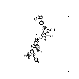 CCS(=O)(=O)Nc1ccc(-c2n[nH]c3c(-c4cnn(CCC(=O)N[C@H](C(=O)N5C[C@H](O)CC5C(=O)NCc5ccc(-c6scnc6C)cc5)C(C)(C)C)c4)cnc(N)c23)cc1OCc1ccc(F)cc1